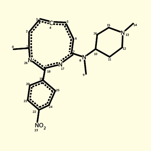 Cc1cccccc(N(C)C2CCN(C)CC2)nc(-c2ccc([N+](=O)[O-])cc2)n1